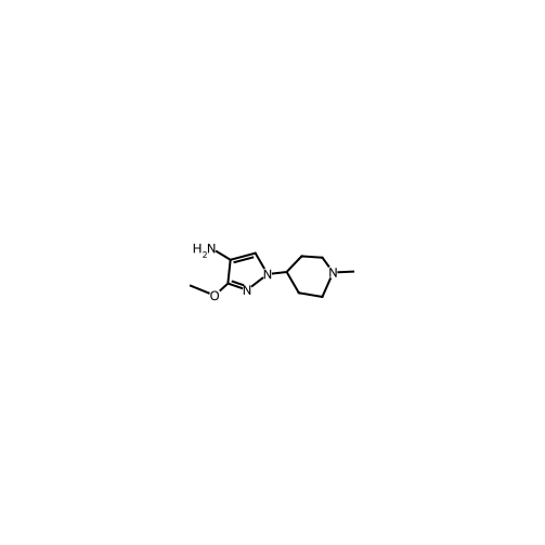 COc1nn(C2CCN(C)CC2)cc1N